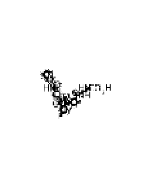 O=C(O)NCCNC(=O)c1cccc(-n2c(=O)n(C3CCC(NC(=O)c4cn5ccccc5n4)CC3)c(=O)c3cc(F)cnc32)c1